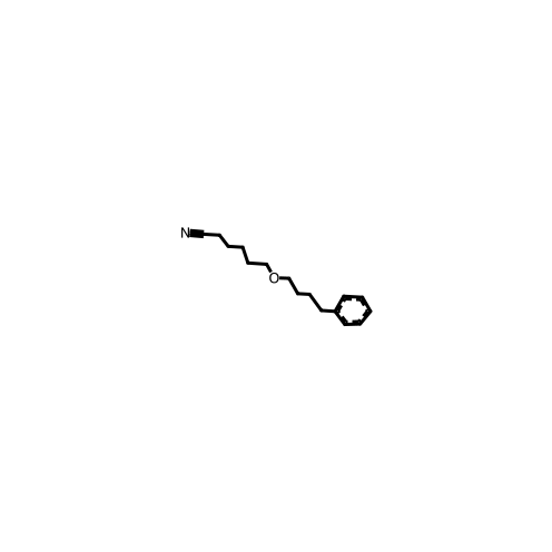 N#CCCCCCOCCCCc1ccccc1